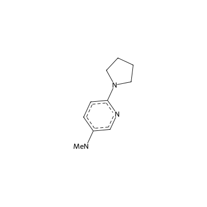 [CH2]Nc1ccc(N2CCCC2)nc1